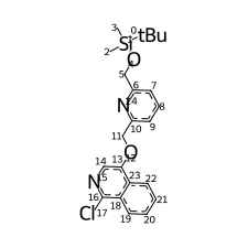 CC(C)(C)[Si](C)(C)OCc1cccc(COc2cnc(Cl)c3ccccc23)n1